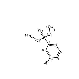 COP(=O)(OC)c1cccc(F)c1